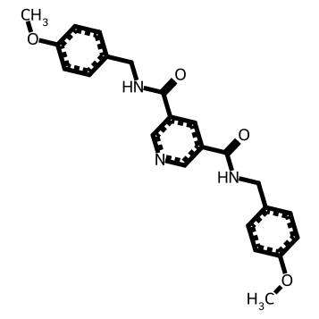 COc1ccc(CNC(=O)c2cncc(C(=O)NCc3ccc(OC)cc3)c2)cc1